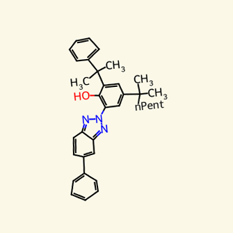 CCCCCC(C)(C)c1cc(-n2nc3ccc(-c4ccccc4)cc3n2)c(O)c(C(C)(C)c2ccccc2)c1